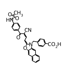 CS(=O)(=O)Nc1ccc(C(=O)C(C#N)=CC=C2Oc3cc4ccccc4cc3N2Cc2ccc(C(=O)O)cc2)cc1